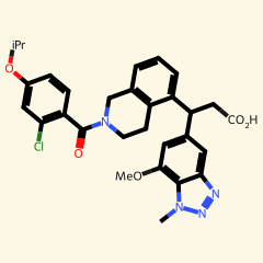 COc1cc(C(CC(=O)O)c2cccc3c2CCN(C(=O)c2ccc(OC(C)C)cc2Cl)C3)cc2nnn(C)c12